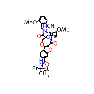 CCC(C)(CC)NC(=O)c1ccc2c3c(oc2c1)C(=O)N([C@H]1C[C@@H](OC)C1)C(C)(C(=O)NCc1c(C#N)cccc1OC)CO3